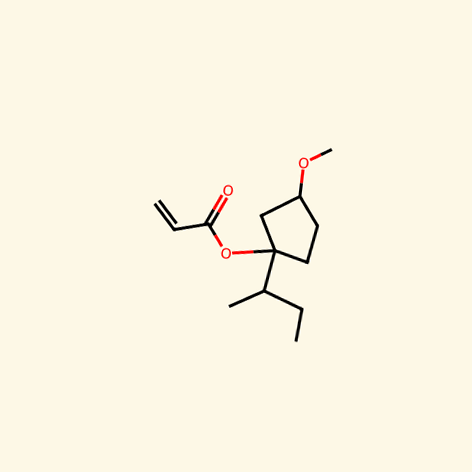 C=CC(=O)OC1(C(C)CC)CCC(OC)C1